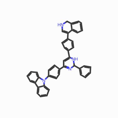 C1=C(c2ccc(C3=CNCc4ccccc43)cc2)NC(c2ccccc2)N=C1c1ccc(-n2c3ccccc3c3ccccc32)cc1